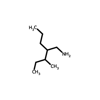 CCCC(CN)C(C)CC